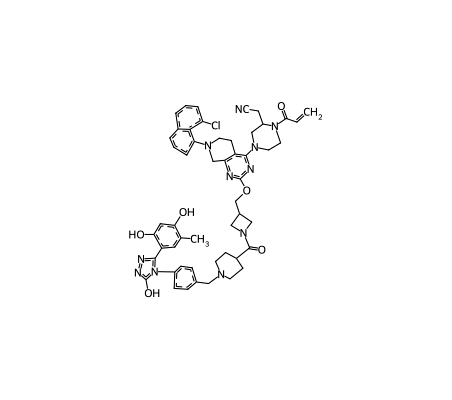 C=CC(=O)N1CCN(c2nc(OCC3CN(C(=O)C4CCN(Cc5ccc(-n6c(O)nnc6-c6cc(C)c(O)cc6O)cc5)CC4)C3)nc3c2CCN(c2cccc4cccc(Cl)c24)C3)CC1CC#N